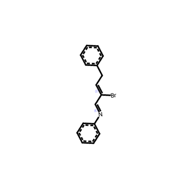 BrC(=C\Cc1ccccc1)/C=N/c1ccccc1